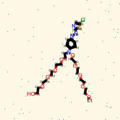 CCOCCOCCOCCOCCON(CCOCCOCCOCCOCCO)c1ccc(/N=N/c2ncc(Cl)s2)cc1